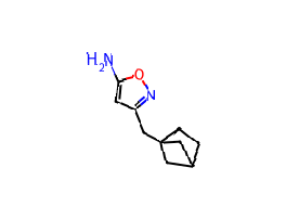 Nc1cc(CC23CCC(C2)C3)no1